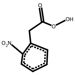 O=C(Cc1ccccc1[N+](=O)[O-])OO